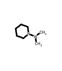 [CH3][Al]([CH3])[N]1CCCCC1